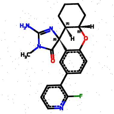 CN1C(=O)[C@]2(N=C1N)c1cc(-c3cccnc3F)ccc1O[C@H]1CCCC[C@@H]12